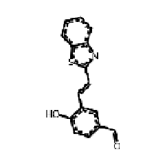 O=Cc1ccc(O)c(C=Cc2nc3ccccc3s2)c1